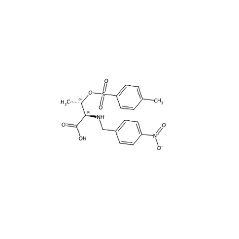 Cc1ccc(S(=O)(=O)O[C@@H](C)[C@@H](NCc2ccc([N+](=O)[O-])cc2)C(=O)O)cc1